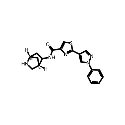 O=C(NC1C[C@@H]2C[C@H]1CN2)c1csc(-c2cnn(-c3ccccc3)c2)n1